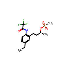 CCc1ccc(NC(=O)C(F)(F)F)c(CC[C@H](C)OS(C)(=O)=O)c1